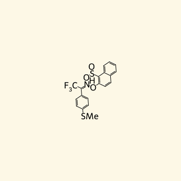 CSc1ccc(C(=NOc2ccc3ccccc3c2[SH](=O)=O)C(F)(F)F)cc1